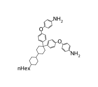 CCCCCCC1CCC(C2CCC(c3ccc(Oc4ccc(N)cc4)cc3)(c3ccc(Oc4ccc(N)cc4)cc3)CC2)CC1